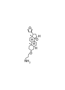 C[C@]12CC[C@H](OCCCN)C[C@@H]1CC[C@@H]1[C@@H]2CC[C@]2(C)[C@@H](c3ccoc3)C[C@H]3O[C@]132